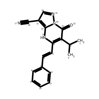 CC(C)c1c(/C=C/c2ccccc2)[nH]c2c(C#N)cnn2c1=O